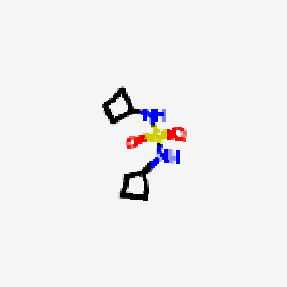 O=S(=O)(NC1CCC1)NC1CCC1